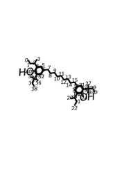 CCC(C)c1cc(CCCCCCCCCc2cc(C(C)CC)c(O)c(C(C)(C)CC)c2)cc(C(C)(C)CC)c1O